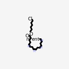 CCCCC/C=C\C/C=C\C/C=C\C/C=C\CCCC(=O)OCCCCCCCl